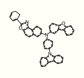 C1=CCCC(c2nc3c(ccc4cc(N(c5ccc(-n6c7ccccc7c7ccccc76)cc5)c5ccc6oc7ccccc7c6c5)ccc43)o2)=C1